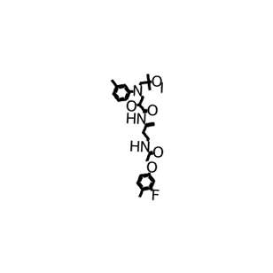 C=C(CCNC(=O)COc1ccc(C)c(F)c1)NC(=O)C1CN(CC(C)(C)OI)c2cc(C)ccc2O1